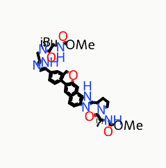 CC[C@H](C)N(Cc1ncc(-c2ccc3c(c2)COc2cc4c(ccc5nc(C6CCCN6C(=O)[C@H](C)NC(=O)OC)[nH]c54)cc2-3)[nH]1)C(=O)CNC(=O)OC